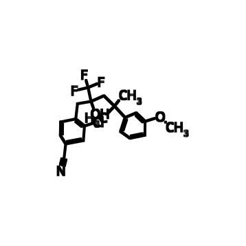 COc1cccc(C(C)(C)CC(O)(Cc2ccc(C#N)cc2Cl)C(F)(F)F)c1